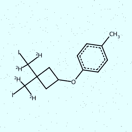 [2H]C([2H])(I)C1(C([2H])([2H])I)CC(Oc2ccc(C)cc2)C1